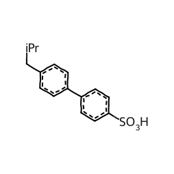 CC(C)Cc1ccc(-c2ccc(S(=O)(=O)O)cc2)cc1